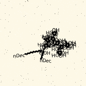 CCCCCCCCCCCCC/C=C/[C@@H](O)[C@H](CO[C@@H]1OC(CO)[C@@H](O[C@@H]2OC(CO)[C@H](O)[C@H](O[C@@H]3OC(CO)[C@@H](O[C@@H]4OC(CO)[C@H](O)[C@H](O[C@@H]5OC(CO)[C@@H](O[C@H]6OC(C)[C@@H](O)C(O)[C@@H]6O)[C@H](O[C@@H]6OC(CO)[C@H](O)[C@H](O)C6O)C5NC(C)=O)C4O)[C@H](O[C@H]4OC(C)[C@@H](O)C(O)[C@@H]4O)C3NC(C)=O)C2O)[C@H](O)C1O)NC(=O)CCCCCCCCCCCCCCCCCCCCC